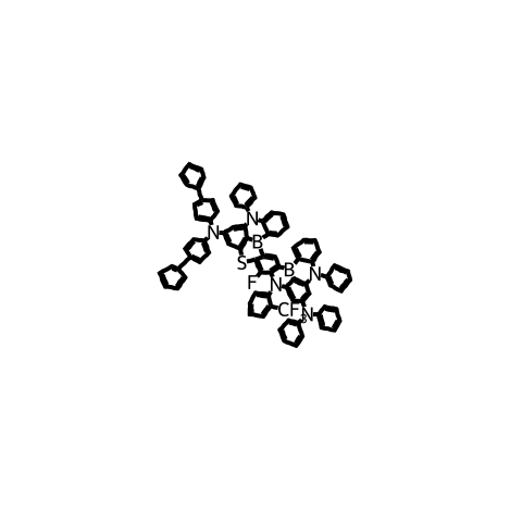 Fc1c2c(cc3c1N(c1ccccc1C(F)(F)F)c1cc(N(c4ccccc4)c4ccccc4)cc4c1B3c1ccccc1N4c1ccccc1)B1c3ccccc3N(c3ccccc3)c3cc(N(c4ccc(-c5ccccc5)cc4)c4ccc(-c5ccccc5)cc4)cc(c31)S2